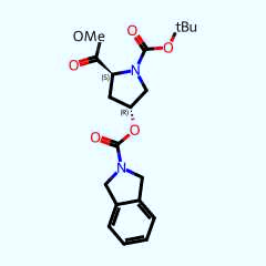 COC(=O)[C@@H]1C[C@@H](OC(=O)N2Cc3ccccc3C2)CN1C(=O)OC(C)(C)C